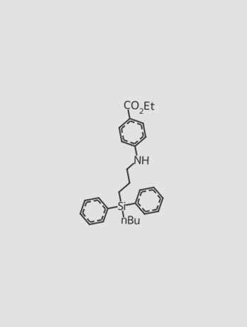 CCCC[Si](CCCNc1ccc(C(=O)OCC)cc1)(c1ccccc1)c1ccccc1